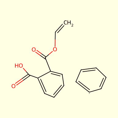 C=COC(=O)c1ccccc1C(=O)O.[c]1ccccc1